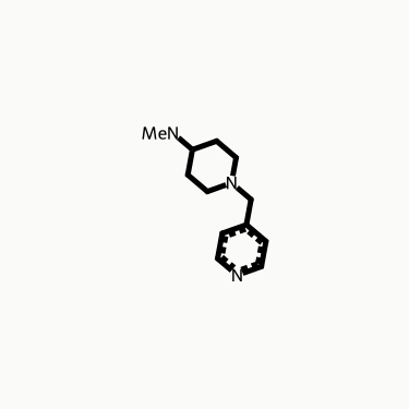 CNC1CCN(Cc2ccncc2)CC1